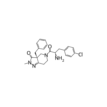 CN1N=C2CCN(C(=O)[C@H](N)Cc3ccc(Cl)cc3)C[C@@]2(Cc2ccccc2)C1=O